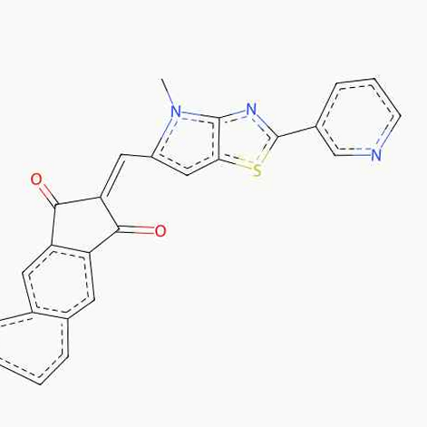 Cn1c(C=C2C(=O)c3cc4ccccc4cc3C2=O)cc2sc(-c3cccnc3)nc21